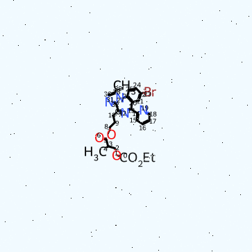 CCOC(=O)OCC(C)C(=O)OCCC[C@@H]1N=C(c2ccccn2)c2cc(Br)ccc2-n2c(C)cnc21